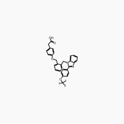 O=C(O)Cc1ccc(OCc2ccccc2Cn2c(-c3ccc(OC(F)(F)F)cc3)nc3ccccc32)cc1